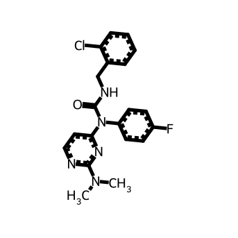 CN(C)c1nccc(N(C(=O)NCc2ccccc2Cl)c2ccc(F)cc2)n1